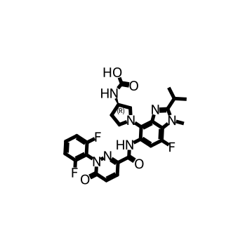 CC(C)c1nc2c(N3CC[C@@H](NC(=O)O)C3)c(NC(=O)c3ccc(=O)n(-c4c(F)cccc4F)n3)cc(F)c2n1C